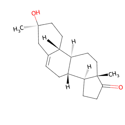 C[C@]1(O)CC[C@H]2C(=CC[C@@H]3[C@@H]2CC[C@]2(C)C(=O)CC[C@@H]32)C1